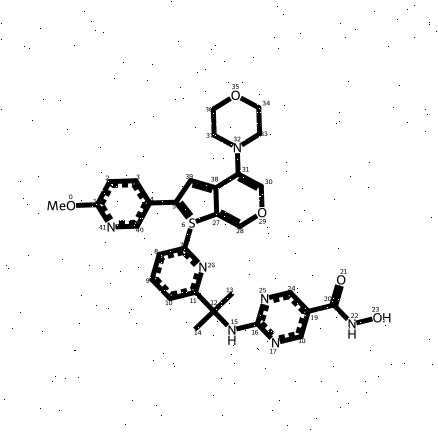 COc1ccc(C2=S(c3cccc(C(C)(C)Nc4ncc(C(=O)NO)cn4)n3)C3=COC=C(N4CCOCC4)C3=C2)cn1